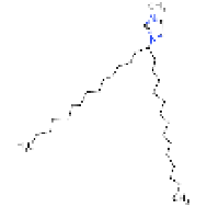 CCCCCCCCCCCCCCC(CCCCCCCCCCCCCC)[n+]1ccn(C)c1